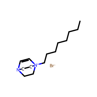 CCCCCCCC[N+]12C=CN(CC1)CC2.[Br-]